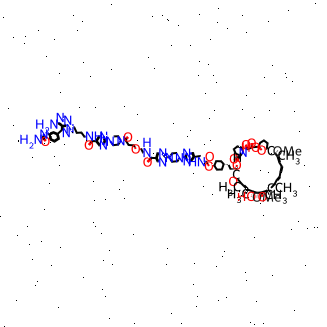 CO[C@H]1CC2CCC[C@@](O)(O2)C(=O)C(=O)N2CCCC[C@H]2C(=O)O[C@H](CC[C@H]2CC[C@H](OC(=O)NCc3cnc(N4CCN(c5ncc(C(=O)NCCOCCC(=O)N6CCN(c7ncc(C(=O)NCCCCn8nc(-c9ccc%10oc(N)nc%10c9)c9c(N)ncnc98)cn7)CC6)cn5)CC4)nc3)CC2)CC(=O)[C@H](C)/C=C(\C)[C@@H](O)[C@@H](OC)C(=O)[C@H](C)C[C@H](C)/C=C/C=C/C=C/1C